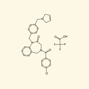 O=C(O)C(F)(F)F.O=C(c1ccc(Cl)cc1)N1CC(=O)N(Cc2ccc(CN3CC=CC3)cc2)c2ccccc2C1